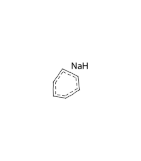 [NaH].c1ccccc1